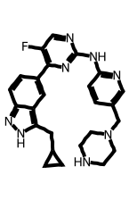 Fc1cnc(Nc2ccc(CN3CCNCC3)cn2)nc1-c1ccc2n[nH]c(CC3CC3)c2c1